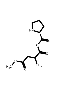 COC(=O)CC(C)C(=O)OC(=O)[C@@H]1CCCN1